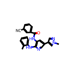 Cc1ccccc1Nc1ncc(-c2cnn(C)c2)cc1NC(=O)c1cccc(C#N)c1